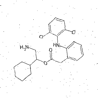 NCC(OC(=O)Cc1ccccc1Nc1c(Cl)cccc1Cl)C1CCCCC1